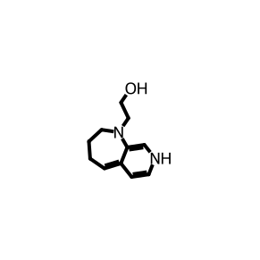 OCCN1CCCC=C2C=CNC=C21